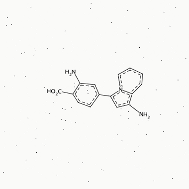 Nc1cc(-c2cc(N)c3ccccn23)ccc1C(=O)O